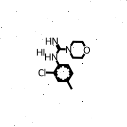 Cc1ccc(NC(=N)N2CCOCC2)c(Cl)c1.I